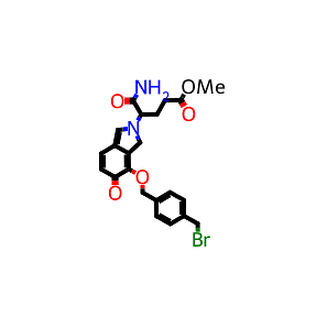 COC(=O)CCC(C(N)=O)N1C=C2C=CC(=O)C(OCc3ccc(CBr)cc3)=C2C1